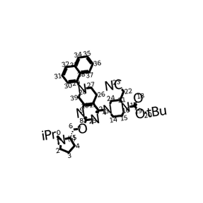 CC(C)N1CCC[C@H]1COc1nc2c(c(N3CCN(C(=O)OC(C)(C)C)C(CC#N)C3)n1)CCN(c1cccc3ccccc13)C2